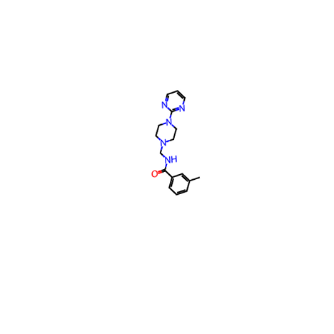 Cc1cccc(C(=O)NCN2CCN(c3ncccn3)CC2)c1